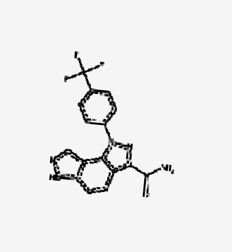 NC(=O)c1nn(-c2ccc(C(F)(F)F)cc2)c2c1ccc1[nH]ncc12